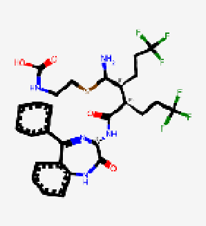 NC(SCCNC(=O)O)[C@@H](CCC(F)(F)F)[C@@H](CCC(F)(F)F)C(=O)N[C@H]1N=C(c2ccccc2)c2ccccc2NC1=O